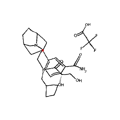 NC(=O)c1cccc(C2CC3CCC(C2)N3CCN(CC2CCC2)C(=O)[C@@H](O)CO)c1.O=C(O)C(F)(F)F